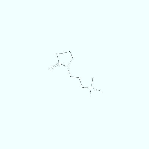 CC(C)[Si](C)(C)CCCN1CCNC1=N